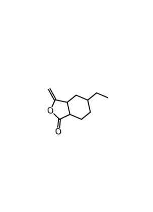 C=C1OC(=O)C2CCC(CC)CC12